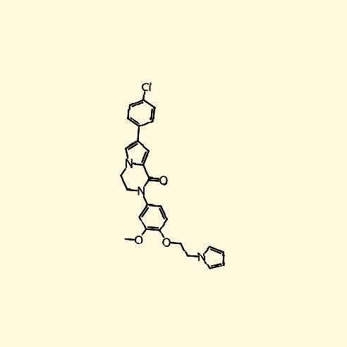 COc1cc(N2CCn3cc(-c4ccc(Cl)cc4)cc3C2=O)ccc1OCCn1cccc1